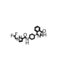 O=C(N[C@H]1CC[C@H](c2n[nH]c(=O)c3ccccc32)CC1)c1ccn(CC(F)F)n1